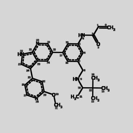 C=CC(=O)Nc1cc(CNC(C)C(C)(C)C)cc(-c2cnc3[nH]cc(-c4ccnc(OC)c4)c3c2)c1